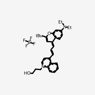 CCN(CC)c1ccc2c(c1)OC(C(C)(C)C)=CC2=CC=Cc1cc[n+](CCCO)c2ccccc12.F[B-](F)(F)F